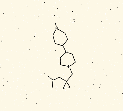 CC(C)CC1(CN2CCN(C3CCN(C)CC3)CC2)CC1